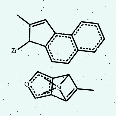 CC1=C2c3cocc3C1[Si]2(C)C.CC1=Cc2c(ccc3ccccc23)[CH]1[Zr]